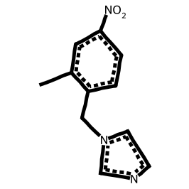 Cc1cc([N+](=O)[O-])ccc1Cn1ccnc1